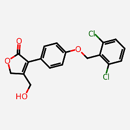 O=C1OCC(CO)=C1c1ccc(OCc2c(Cl)cccc2Cl)cc1